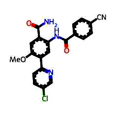 COc1cc(C(N)=O)c(NC(=O)c2ccc(C#N)cc2)cc1-c1ccc(Cl)cn1